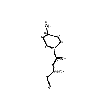 CCC(=O)CC(=O)N1CCC(O)CC1